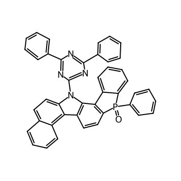 O=P1(c2ccccc2)c2ccccc2-c2c1ccc1c3c4ccccc4ccc3n(-c3nc(-c4ccccc4)nc(-c4ccccc4)n3)c21